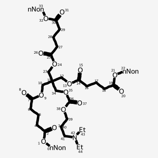 CCCCCCCCCOC(=O)CCCC(=O)OCC(COC(=O)CCCC(=O)OCCCCCCCCC)(COC(=O)CCCC(=O)OCCCCCCCCC)COC(=O)OCCCN(CC)CC